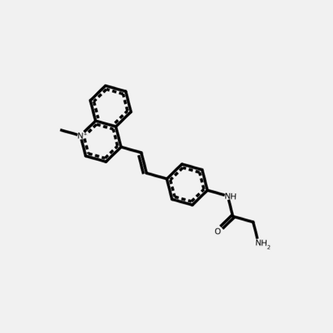 C[n+]1ccc(C=Cc2ccc(NC(=O)CN)cc2)c2ccccc21